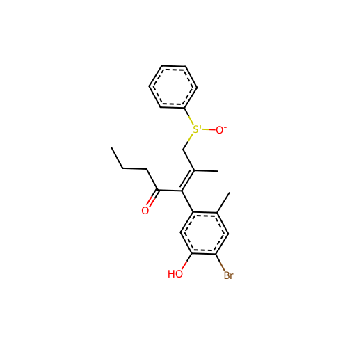 CCCC(=O)/C(=C(/C)C[S+]([O-])c1ccccc1)c1cc(O)c(Br)cc1C